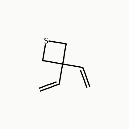 C=CC1(C=C)CSC1